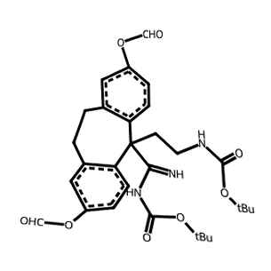 CC(C)(C)OC(=O)NCCC1(C(=N)NC(=O)OC(C)(C)C)c2ccc(OC=O)cc2CCc2cc(OC=O)ccc21